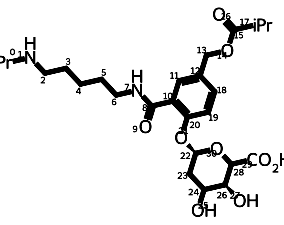 CC(C)NCCCCCNC(=O)c1cc(COC(=O)C(C)C)ccc1O[C@@H]1CC(O)[C@H](O)C(C(=O)O)O1